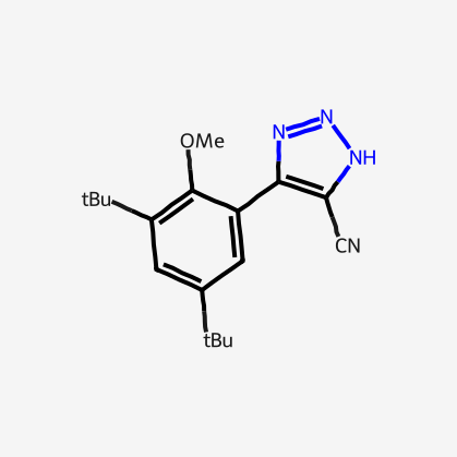 COc1c(-c2nn[nH]c2C#N)cc(C(C)(C)C)cc1C(C)(C)C